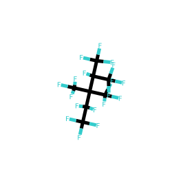 FC(F)(F)C(F)(F)C(C(F)(F)F)(C(F)(F)F)C(F)(C(F)(F)F)C(F)(F)F